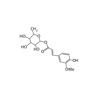 COc1cc(/C=C/C(=O)OC2OC(C)C(O)C(O)C2O)ccc1O